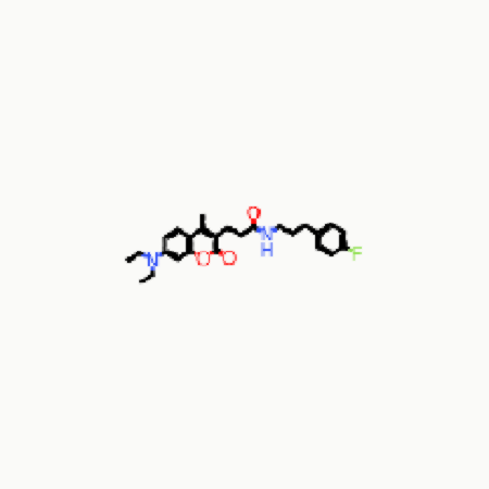 CCN(CC)c1ccc2c(C)c(CCC(=O)NCCCc3ccc(F)cc3)c(=O)oc2c1